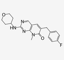 Cn1c(=O)c(Cc2ccc(F)cc2)cc2cnc(NC3CCOCC3)nc21